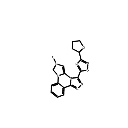 FN1C=C2N(C1)c1ccccc1-c1nnc(-c3nc(C4CCCO4)no3)n12